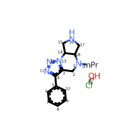 CCCN1Cc2c(-c3ccccc3)nnn2C2CNCC21.OCl